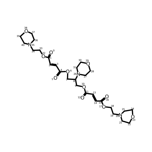 O=C(/C=C/C(=O)OCC(COC(=O)/C=C/C(=O)OCCN1CCOCC1)N1CCOCC1)OCCN1CCOCC1